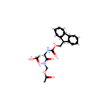 CC(=O)OCNC(=O)[C@H](CC(=O)O)NC(=O)OCC1c2ccccc2-c2ccccc21